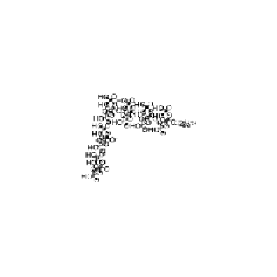 O=P(O)(O)OP(=O)([O-])OP(=O)(O)O.O=P(O)(O)OP(=O)([O-])OP(=O)(O)O.O=P(O)(O)OP(=O)([O-])OP(=O)(O)O.O=P(O)(O)OP(=O)([O-])OP(=O)(O)O.O=P(O)(O)OP(=O)([O-])OP(=O)(O)O.O=P(O)(O)OP(=O)([O-])OP(=O)(O)O.[Ca+2].[Ca+2].[Ca+2]